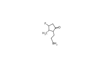 BCCC1C(=O)CC(F)C1C